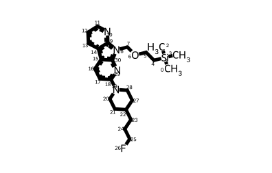 C[Si](C)(C)CCOCn1c2ncccc2c2ccc(N3CCC(CCCF)CC3)nc21